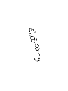 CCCCCCc1ccc2c(c1)CCC(C1CCC3C[C@H](OCCC)CC[C@@H]3C1)C2